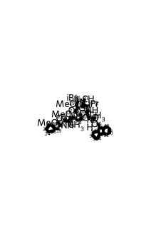 CC[C@H](C)[C@@H]([C@@H](CC(=O)N1CCC[C@H]1[C@H](OC)[C@@H](C)C(=O)N[C@@H](Cc1ccccc1)C(=O)OC)OC)N(C)C(=O)[C@@H](NC(=O)C(C)(C)NC(=O)OCC1c2ccccc2-c2ccccc21)C(C)C